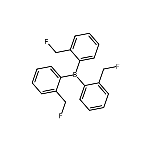 FCc1ccccc1B(c1ccccc1CF)c1ccccc1CF